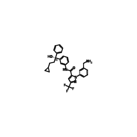 NCc1cccc(-n2nc(C(F)(F)F)cc2C(=O)Nc2cccc([C@@](O)(CCC3CC3)c3ccccc3)c2)c1